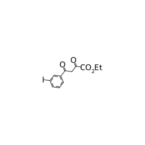 CCOC(=O)C(=O)CC(=O)c1cccc(I)c1